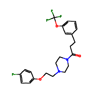 O=C(CCc1cccc(OC(F)(F)F)c1)N1CCN(CCOc2ccc(F)cc2)CC1